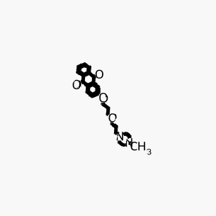 CN1CCN(CCCOCCCOc2ccc3c(c2)C(=O)c2ccccc2C3=O)CC1